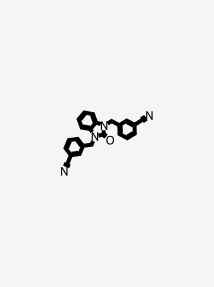 N#Cc1cccc(Cn2c(=O)n(Cc3cccc(C#N)c3)c3ccccc32)c1